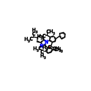 Cc1ccc(C)c(-c2n(-c3c(C(C)C)cc(-c4ccccc4)cc3C(C)C)c3ccc(C(C)C)cc3[n+]2C)c1